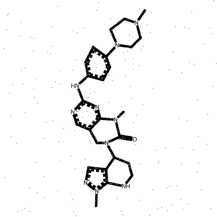 CN1CCN(c2ccc(Nc3ncc4c(n3)N(C)C(=O)N(C3CCNc5c3cnn5C)C4)cc2)CC1